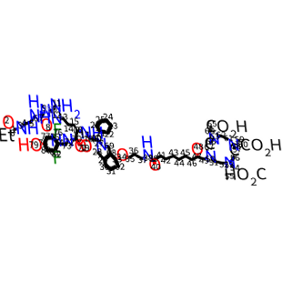 CCC(=O)NCCNC(=O)/N=C(/N)NCCC[C@@H](NC(=O)[C@H](c1ccccc1)N1Cc2cccc(OCCCNC(=O)CCCCCCC(=O)CN3CCN(CC(=O)O)CCN(CC(=O)O)CCN(CC(=O)O)CC3)c2C1)C(=O)NCc1c(F)cc(O)cc1F